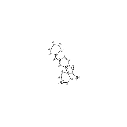 O=C(O)C1(c2cccc(OC3CCCCC3)c2)CCOCC1